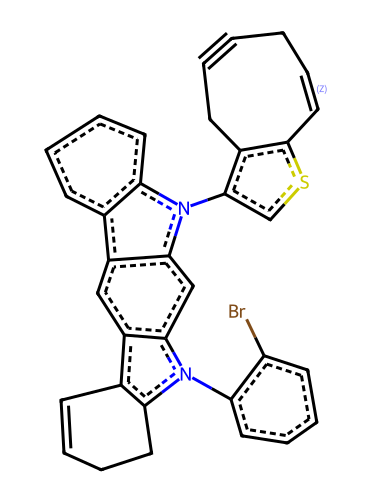 Brc1ccccc1-n1c2c(c3cc4c5ccccc5n(-c5csc6c5CC#CC/C=C\6)c4cc31)C=CCC2